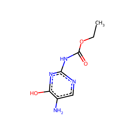 CCOC(=O)Nc1ncc(N)c(O)n1